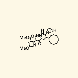 COC(=O)c1nc(OC)cnc1NC(=O)C1CC(C2CCCCCCCCC2)C(N2CCNC2)NN1